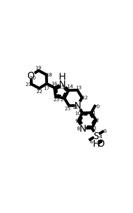 Cc1cc([SH](C)(C)=O)ncc1N1CCc2[nH]c(C3CCOCC3)cc2C1